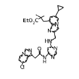 CCOC(=O)C(C)(C)Cc1cc(C2CC2)cn2cc(CNc3cc(NC(=O)Cc4ncn5ccc(Cl)cc45)ncn3)nc12